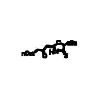 CCCCCCCCCC(=O)/C=C1\NC(=S)[C@H](CCCC)O1